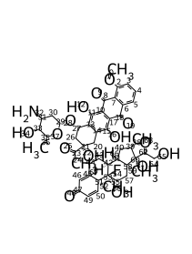 COc1cccc2c1C(=O)c1c(O)c3c(c(O)c1C2=O)C[C@@](O)(C(C)=O)C[C@@H]3O[C@H]1C[C@H](N)[C@H](O)[C@H](C)O1.C[C@@H]1C[C@H]2[C@@H]3CCC4=CC(=O)C=C[C@]4(C)[C@@]3(F)[C@@H](O)C[C@]2(C)[C@@]1(O)C(=O)CO